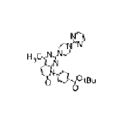 Cc1nc(N2CCN(c3ncccn3)CC2)nc2c1ccc(=O)n2-c1ccc(C(=O)OC(C)(C)C)cc1